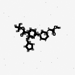 COC(=O)C[C@@H]1CCCN(c2ccc(C(=O)OC(C)(C)C)c(SC3CCCC3)n2)C1